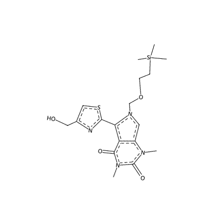 Cn1c(=O)c2c(-c3nc(CO)cs3)n(COCC[Si](C)(C)C)cc2n(C)c1=O